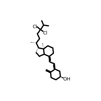 C=C1CC[C@H](O)C/C1=C/C=C1CCC[C@@]2(C)C1CC[C@@H]2[C@H](C)CCC(Cl)(Cl)C(C)C